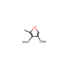 COc1coc(C)c1OC